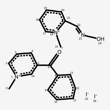 C[n+]1cccc(C(=O)c2ccccc2)c1.C[n+]1ccccc1C=NO.[I-].[I-]